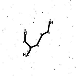 CC(CCl)CCCS